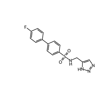 O=S(=O)(NCc1cnn[nH]1)c1ccc(-c2ccc(F)cc2)cc1